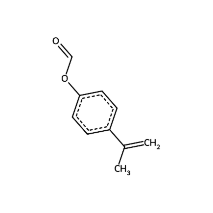 C=C(C)c1ccc(OC=O)cc1